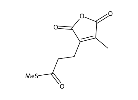 CSC(=O)CCC1=C(C)C(=O)OC1=O